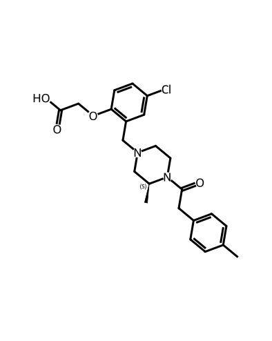 Cc1ccc(CC(=O)N2CCN(Cc3cc(Cl)ccc3OCC(=O)O)C[C@@H]2C)cc1